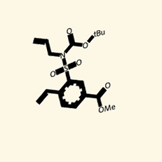 C=CCN(C(=O)OC(C)(C)C)S(=O)(=O)c1cc(C(=O)OC)ccc1C=C